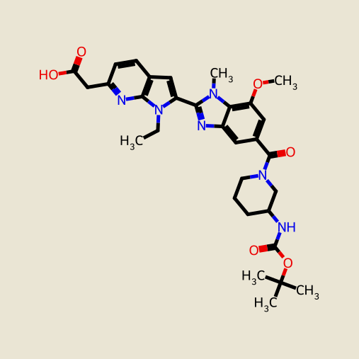 CCn1c(-c2nc3cc(C(=O)N4CCCC(NC(=O)OC(C)(C)C)C4)cc(OC)c3n2C)cc2ccc(CC(=O)O)nc21